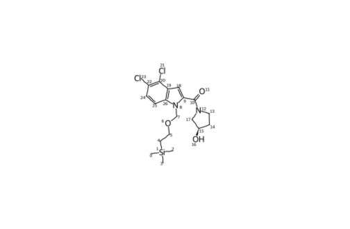 C[Si](C)(C)CCOCn1c(C(=O)N2CC[C@@H](O)C2)cc2c(Cl)c(Cl)ccc21